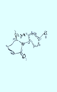 CCc1ccc(N2C(=O)CC[C@H]2C(=O)O)cc1